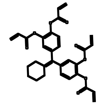 C=CC(=O)Oc1ccc(C(=C2CCCCC2)c2ccc(OC(=O)C=C)c(OC(=O)C=C)c2)cc1OC(=O)C=C